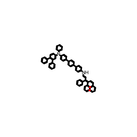 C(=C/c1ccccc1)/C(=C(\C=C\Nc1ccc(-c2ccc(-c3ccc(N(c4ccccc4)c4ccc(-c5ccccc5)c(-c5ccccc5)c4)cc3)cc2)cc1)c1ccccc1)c1ccccc1